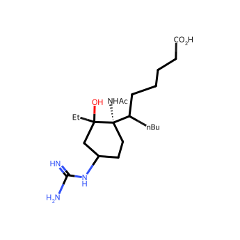 CCCCC(CCCCC(=O)O)[C@@]1(NC(C)=O)CCC(NC(=N)N)CC1(O)CC